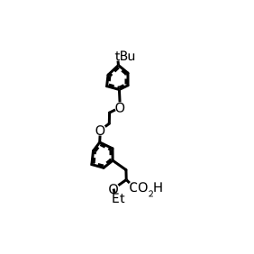 CCOC(Cc1cccc(OCCOc2ccc(C(C)(C)C)cc2)c1)C(=O)O